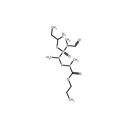 CCCOC(=O)N(C)SN(C)P(=O)(SC(C)CC)N(C)C=O